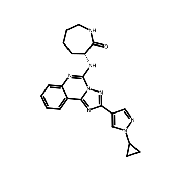 O=C1NCCCC[C@H]1Nc1nc2ccccc2c2nc(-c3cnn(C4CC4)c3)nn12